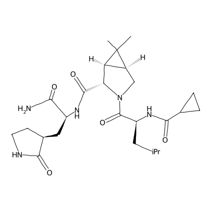 CC(C)C[C@H](NC(=O)C1CC1)C(=O)N1C[C@H]2[C@@H]([C@H]1C(=O)N[C@@H](C[C@@H]1CCNC1=O)C(N)=O)C2(C)C